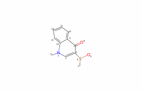 Cn1cc([S+](C)[O-])c(=O)c2ccccc21